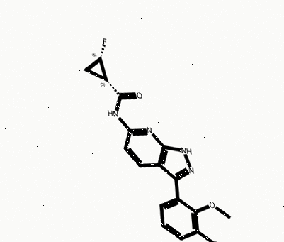 COc1c(F)cccc1-c1n[nH]c2nc(NC(=O)[C@@H]3C[C@@H]3F)ccc12